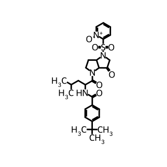 CC(C)CC(NC(=O)c1ccc(C(C)(C)C)cc1)C(=O)N1CCC2C1C(=O)CN2S(=O)(=O)c1cccc[n+]1[O-]